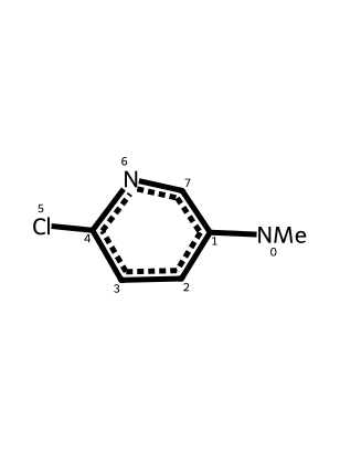 [CH2]Nc1ccc(Cl)nc1